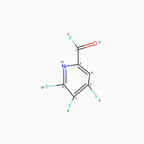 O=C(F)c1cc(F)c(F)c(F)n1